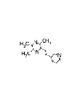 Cc1nc(C)c(C=Cc2cccnc2)nc1C